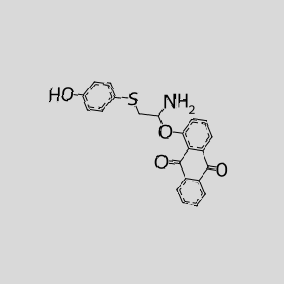 NC(CSc1ccc(O)cc1)Oc1cccc2c1C(=O)c1ccccc1C2=O